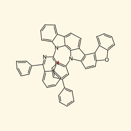 c1ccc(-c2cccc(-n3c4ccc5oc6ccccc6c5c4c4ccc5c6ccccc6n(-c6nc(-c7ccccc7)c7ccccc7n6)c5c43)c2)cc1